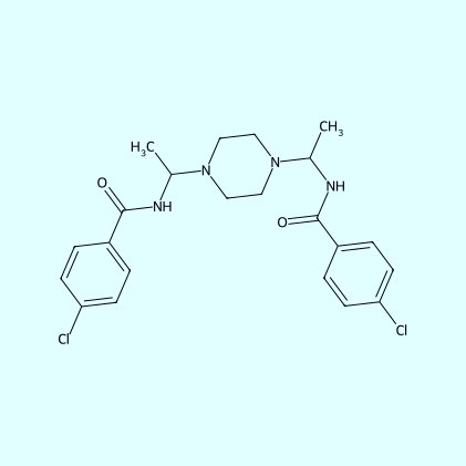 CC(NC(=O)c1ccc(Cl)cc1)N1CCN(C(C)NC(=O)c2ccc(Cl)cc2)CC1